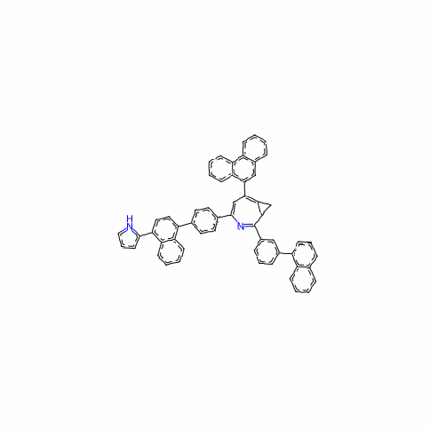 C1=C(c2ccc(-c3ccc(-c4ccc[nH]4)c4ccccc34)cc2)N=C(c2cccc(-c3cccc4ccccc34)c2)C2CC2=C1c1cc2ccccc2c2ccccc12